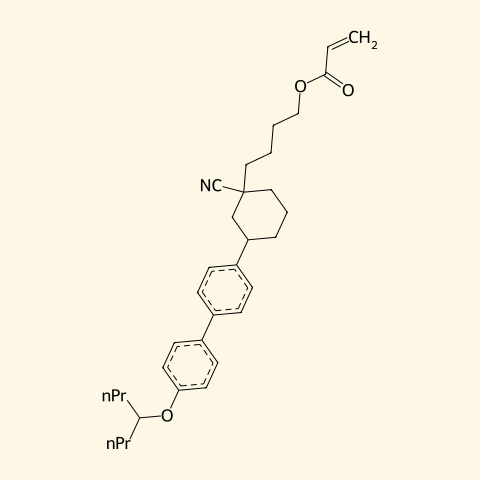 C=CC(=O)OCCCCC1(C#N)CCCC(c2ccc(-c3ccc(OC(CCC)CCC)cc3)cc2)C1